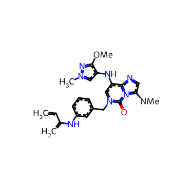 C=CC(=C)Nc1cccc(Cn2cc(Nc3cn(C)nc3OC)c3ncc(NC)n3c2=O)c1